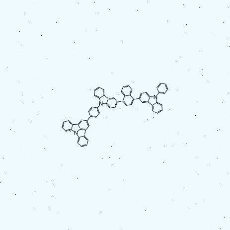 c1ccc(-n2c3ccccc3c3cc(-c4ccc(-c5ccc6c(c5)c5ccccc5n6-c5ccc(-c6cc7c8ccccc8n8c9ccccc9c(c6)c78)cc5)c5ccccc45)ccc32)cc1